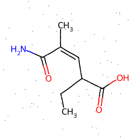 CCC(C=C(C)C(N)=O)C(=O)O